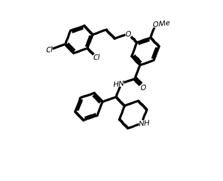 COc1ccc(C(=O)NC(c2ccccc2)C2CCNCC2)cc1OCCc1ccc(Cl)cc1Cl